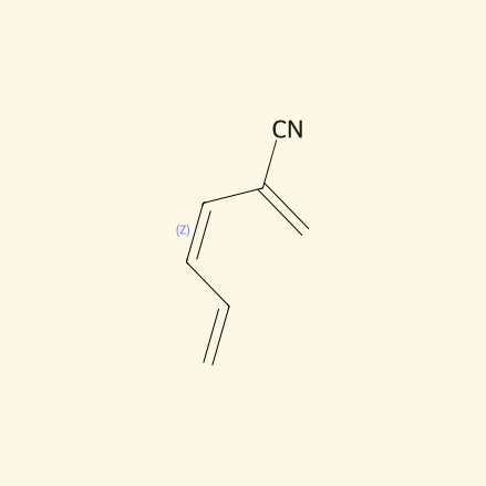 C=C/C=C\C(=C)C#N